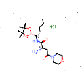 CCCC[C@H](NC(=O)[C@H](N)CC(=O)N1CCOCC1)B1OC(C)(C)C(C)(C)O1.Cl